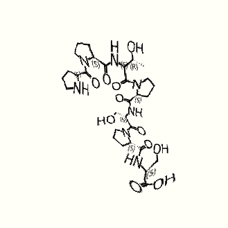 C[C@@H](O)[C@H](NC(=O)[C@@H]1CCCN1C(=O)[C@@H]1CCCN1)C(=O)N1CCC[C@H]1C(=O)N[C@@H](CO)C(=O)N1CCC[C@H]1C(=O)N[C@@H](CO)C(=O)O